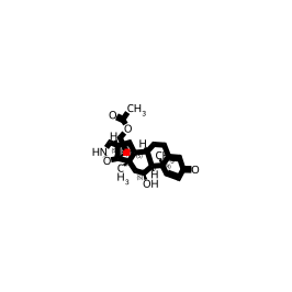 CC(=O)OCC(=O)[C@@]12ONC[C@@H]1C[C@H]1[C@@H]3CCC4=CC(=O)C=C[C@]4(C)[C@H]3[C@@H](O)C[C@@]12C